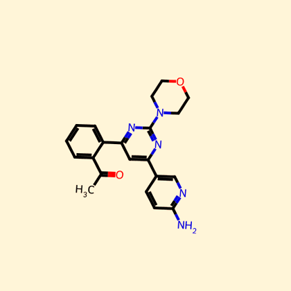 CC(=O)c1ccccc1-c1cc(-c2ccc(N)nc2)nc(N2CCOCC2)n1